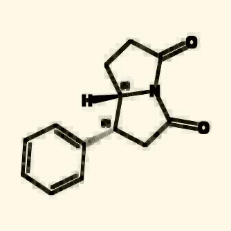 O=C1CC[C@H]2[C@@H](c3ccccc3)CC(=O)N12